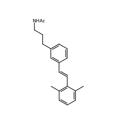 CC(=O)NCCCc1cccc(/C=C/c2c(C)cccc2C)c1